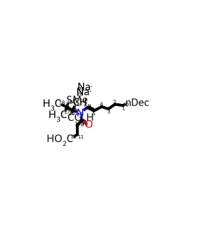 CCCCCCCCCCCCCCC=CN(C(=O)CCC(=O)O)[C@](C)(C(=O)O)C(C)(C)SC.[Na].[Na]